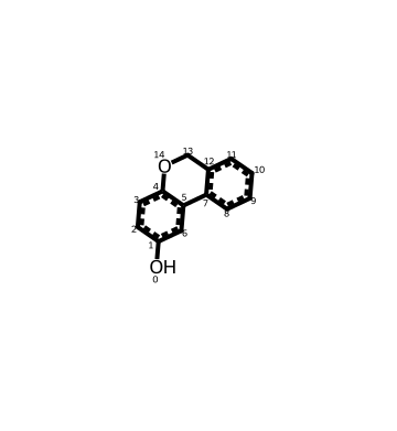 Oc1ccc2c(c1)-c1ccccc1CO2